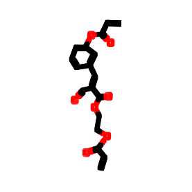 C=CC(=O)OCCOC(=O)/C(C=O)=C/c1cccc(OC(=O)C=C)c1